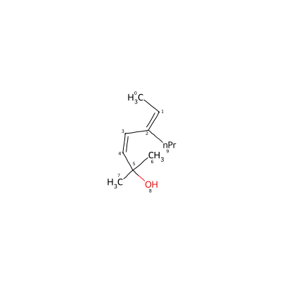 C/C=C(\C=C/C(C)(C)O)CCC